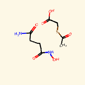 CC(=O)SCC(=O)O.NC(=O)CCC(=O)NO